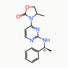 CC1COC(=O)N1c1ccnc(N[C@@H](C)c2ccccc2)n1